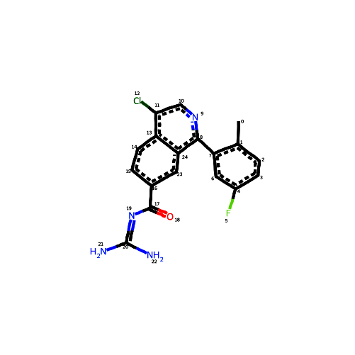 Cc1ccc(F)cc1-c1ncc(Cl)c2ccc(C(=O)N=C(N)N)cc12